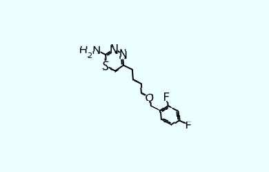 NC1=NN=C(CCCCOCc2ccc(F)cc2F)CS1